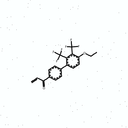 C=CC(=O)c1ccc(-c2ccc(OCC)c(C(F)(F)F)c2C(F)(F)F)cc1